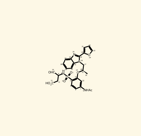 CC(=O)Nc1ccc(S(=O)(=O)NC(C=O)CC(=O)O)c(O[C@H](C)Cn2c(-c3ccco3)nc3ccccc32)c1